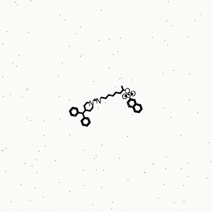 CC(CCCCCCN=CN1CCC(C(c2ccccc2)c2ccccc2)CC1)OS(=O)(=O)c1ccc2ccccc2c1